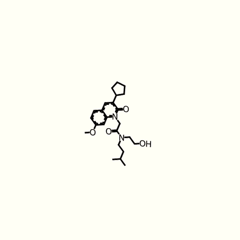 COc1ccc2cc(C3CCCC3)c(=O)n(CC(=O)N(CCO)CCC(C)C)c2c1